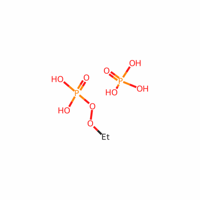 CCOOP(=O)(O)O.O=P(O)(O)O